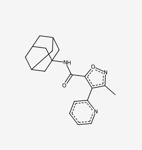 Cc1noc(C(=O)NC23CC4CC(CC(C4)C2)C3)c1-c1ccccn1